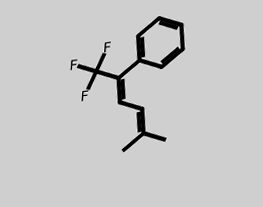 CC(C)=C/C=C(\c1ccccc1)C(F)(F)F